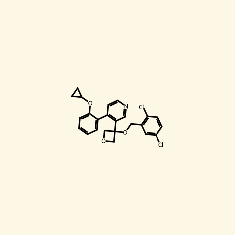 Clc1ccc(Cl)c(COC2(c3cnccc3-c3ccccc3OC3CC3)COC2)c1